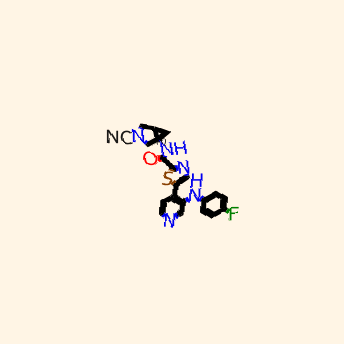 N#CN1CC2C[C@]2(NC(=O)c2ncc(-c3ccncc3Nc3ccc(F)cc3)s2)C1